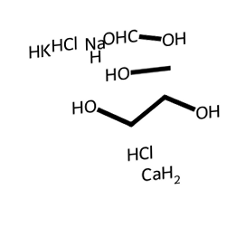 CO.Cl.Cl.O=CO.OCCO.[CaH2].[KH].[NaH]